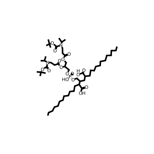 CCCCCCCCCCCCC(CC(COP(=O)(O)OCC(COC(=O)CCN(C(=O)OC(C)(C)C)C(C)C)OC(=O)CCN(C(=O)OC(C)(C)C)C(C)C)C(CCCCCCCCCCCC)C(=O)O)C(=O)O